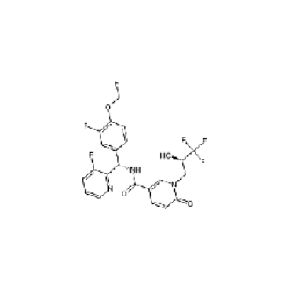 O=C(N[C@@H](c1ccc(OCF)c(F)c1)c1ncccc1F)c1ccc(=O)n(C[C@@H](O)C(F)(F)F)c1